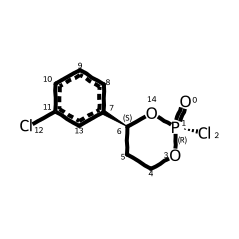 O=[P@@]1(Cl)OCC[C@@H](c2cccc(Cl)c2)O1